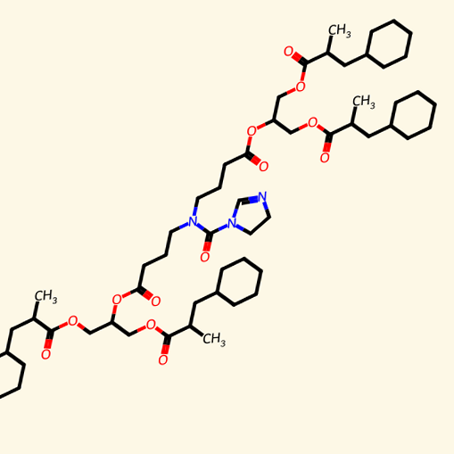 CC(CC1CCCCC1)C(=O)OCC(COC(=O)C(C)CC1CCCCC1)OC(=O)CCCN(CCCC(=O)OC(COC(=O)C(C)CC1CCCCC1)COC(=O)C(C)CC1CCCCC1)C(=O)N1C=NCC1